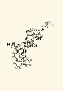 NCCSCc1nnsc1SC1(C(=O)O)CS[C@@H]2[C@H](NC(=O)C(=NOOC(c3ccccc3)(c3ccccc3)c3ccccc3)c3csc(N)n3)C(=O)N2C1